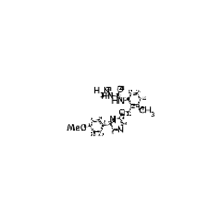 COc1ccc(-c2cncc(OCc3c(C)cccc3NC(=O)NN)n2)cc1